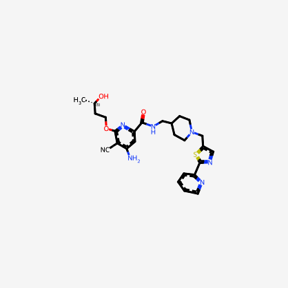 C[C@H](O)CCOc1nc(C(=O)NCC2CCN(Cc3cnc(-c4ccccn4)s3)CC2)cc(N)c1C#N